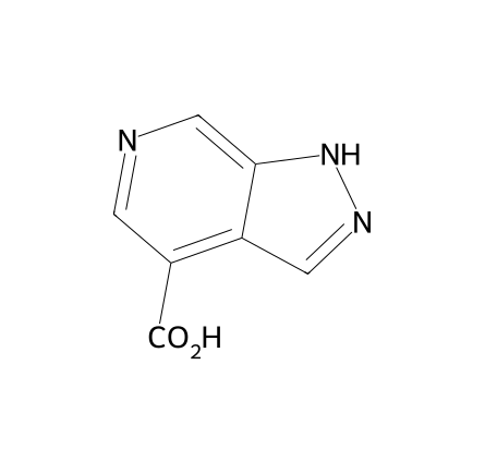 O=C(O)c1cncc2[nH]ncc12